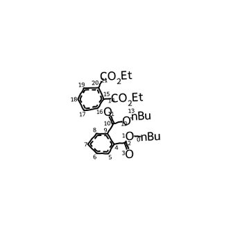 CCCCOC(=O)c1ccccc1C(=O)OCCCC.CCOC(=O)c1ccccc1C(=O)OCC